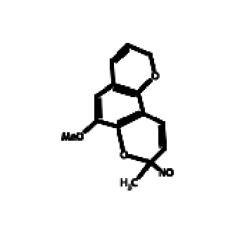 COc1cc2c(c3c1OC(C)(N=O)C=C3)OCC=C2